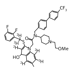 [2H]C1=C(SC([2H])([2H])c2cccc(F)c2F)N(CC(=O)N(Cc2ccc(-c3ccc(C(F)(F)F)cc3)cc2)C2CCN(CCOC)CC2)c2c([2H])c([2H])c(C)c([2H])c2C1O